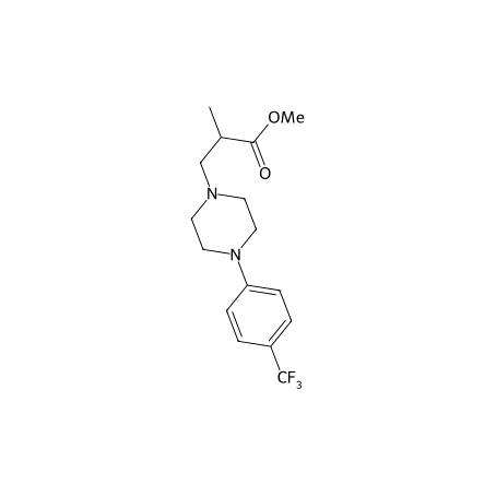 COC(=O)C(C)CN1CCN(c2ccc(C(F)(F)F)cc2)CC1